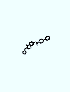 CC1=C(CN2CCCC2)COc2cc(NC(=O)N3CCC(c4ccccc4)CC3)ccc21